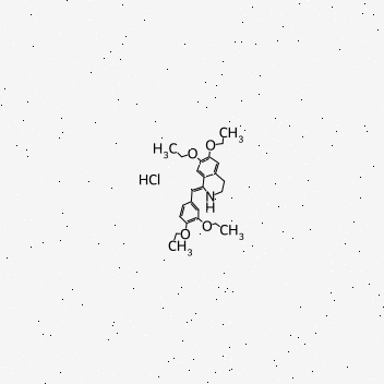 CCOc1ccc(C=C2NCCc3cc(OCC)c(OCC)cc32)cc1OCC.Cl